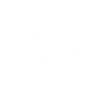 Cc1nc(C(=O)N(CC(=O)O)C(=O)OC(C)(C)C)ccc1Br